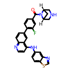 O=C(c1ccc(-c2ccc3nccc(Nc4ccc5scnc5c4)c3c2)c(F)c1)N1[C@@H]2CNC[C@H]1C2